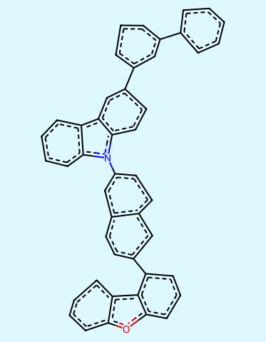 c1ccc(-c2cccc(-c3ccc4c(c3)c3ccccc3n4-c3ccc4cc(-c5cccc6oc7ccccc7c56)ccc4c3)c2)cc1